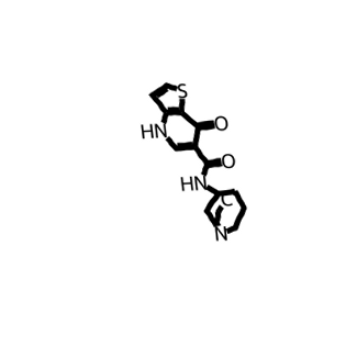 O=C(NC1CN2CCCC1CC2)c1c[nH]c2ccsc2c1=O